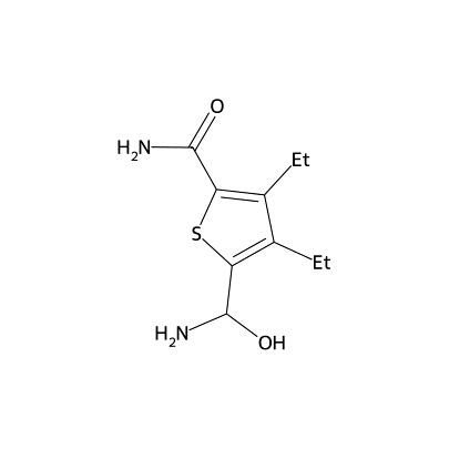 CCc1c(C(N)=O)sc(C(N)O)c1CC